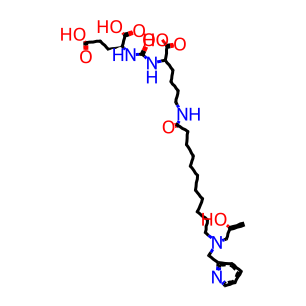 C=C(O)CN(CCCCCCCCCCC(=O)NCCCCC(NC(=O)N[C@@H](CCC(=O)O)C(=O)O)C(=O)O)Cc1ccccn1